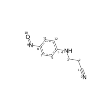 N#CCCNc1ccc(N=O)cc1